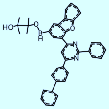 CC(C)(O)C(C)(C)OBc1cc(-c2cc(-c3ccc(-c4ccccc4)cc3)nc(-c3ccccc3)n2)c2oc3ccccc3c2c1